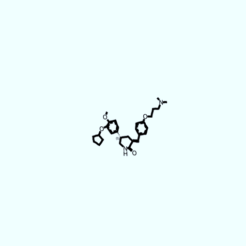 COc1ccc([C@H]2CNC(=O)C(=Cc3ccc(OCCCN(C)C)cc3)C2)cc1OC1CCCC1